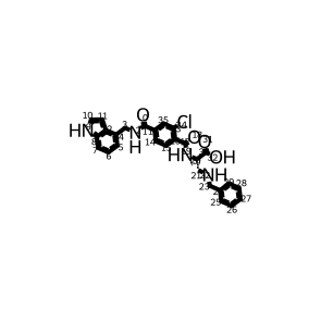 O=C(NCc1cccc2[nH]ccc12)c1ccc(C(=O)N[C@@H](CNCc2ccccc2)C(=O)O)c(Cl)c1